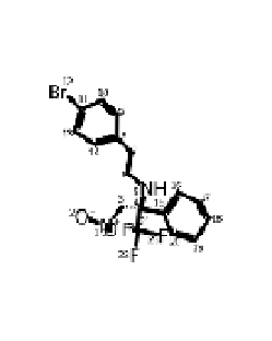 O=[N+]([O-])C[C@](NCCc1ccc(Br)cc1)(c1ccccc1)C(F)(F)F